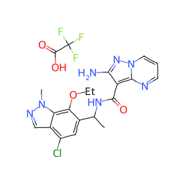 CCOc1c(C(C)NC(=O)c2c(N)nn3cccnc23)cc(Cl)c2cnn(C)c12.O=C(O)C(F)(F)F